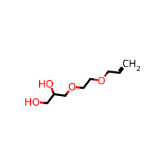 C=CCOCCOCC(O)CO